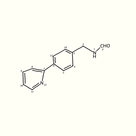 O=CNCc1ccc(-c2ccccn2)cc1